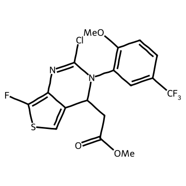 COC(=O)CC1c2csc(F)c2N=C(Cl)N1c1cc(C(F)(F)F)ccc1OC